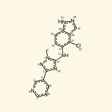 Cn1nc(-c2cncnc2)nc1Nc1ccc2[nH]ncc2c1Cl